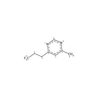 Cc1cc(CCC(F)(F)F)ncn1